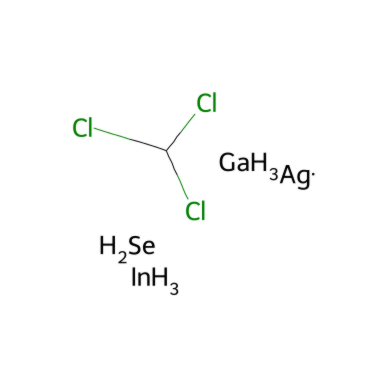 ClC(Cl)Cl.[Ag].[GaH3].[InH3].[SeH2]